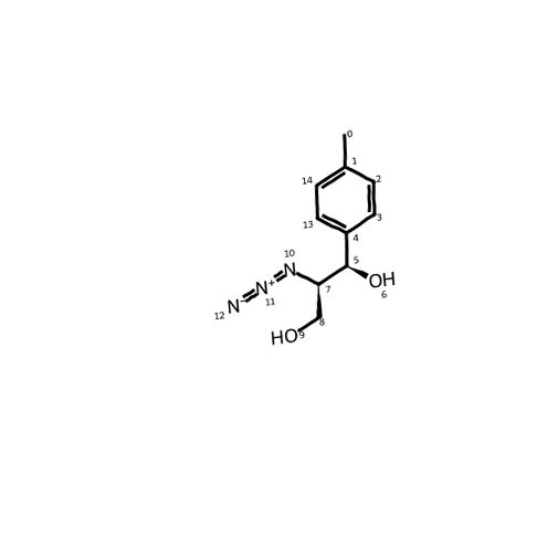 Cc1ccc([C@@H](O)[C@@H](CO)N=[N+]=[N-])cc1